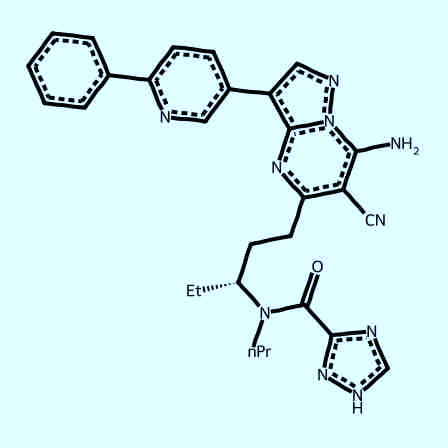 CCCN(C(=O)c1nc[nH]n1)[C@H](CC)CCc1nc2c(-c3ccc(-c4ccccc4)nc3)cnn2c(N)c1C#N